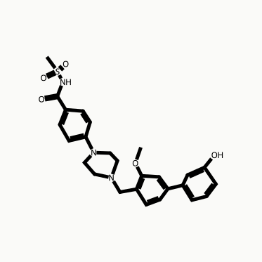 COc1cc(-c2cccc(O)c2)ccc1CN1CCN(c2ccc(C(=O)NS(C)(=O)=O)cc2)CC1